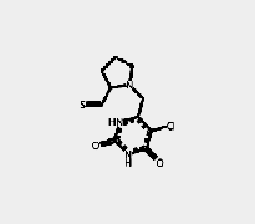 O=c1[nH]c(CN2CCCC2C=S)c(Cl)c(=O)[nH]1